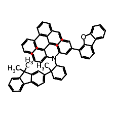 CC1(C)c2ccccc2-c2ccc(C3(C)C=CC=CC3N(c3cccc(-c4cccc5c4oc4ccccc45)c3)c3ccccc3-c3cccc4cccc(-c5ccccc5)c34)cc21